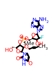 CC#CCOC1C(OP(=O)(OC[C@H]2O[C@@H](n3cnc4c(N)ncnc43)C(F)C2O)SC)[C@@H](CO)O[C@H]1n1ccc(=O)[nH]c1=O